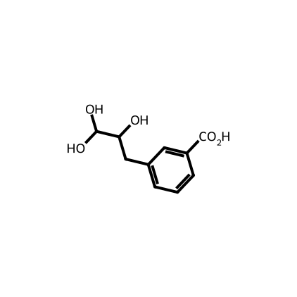 O=C(O)c1cccc(CC(O)C(O)O)c1